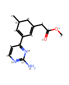 COC(=O)CC1=CC(c2ccnc(N)n2)=CC(C)C1